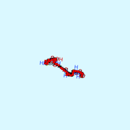 CC1NCSC1c1ccc(CNC(=O)[C@@H]2C[C@@H](O)CN2C(=O)[C@@H](NC(=O)CCCCCCCCCCC(=O)NCc2cccc(-c3cccc(C4CSC(NC(=O)CNC(=O)C5CCN(S(C)(=O)=O)C5)N4)c3)c2)C(C)(C)C)cc1